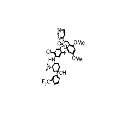 COc1ccc(CN(c2ccncn2)S(=O)(=O)c2cc(Cl)c(N[C@@H]3CC[C@](O)(c4cccc(C(F)(F)F)c4)C[C@H]3N(C)C)cc2F)c(OC)c1